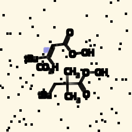 CC(C)(C)/C(=C/C(=O)OO)C(=O)O.CC(C)(C)CC(C)(C)C(=O)OO